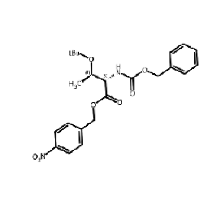 C[C@@H](OC(C)(C)C)[C@H](NC(=O)OCc1ccccc1)C(=O)OCc1ccc([N+](=O)[O-])cc1